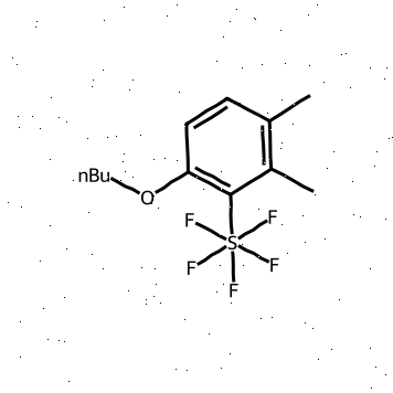 CCCCOc1ccc(C)c(C)c1S(F)(F)(F)(F)F